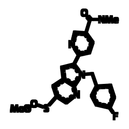 CNC(=O)c1ccc(-c2cc3cc(SOOC)cnc3n2Cc2ccc(F)cc2)nc1